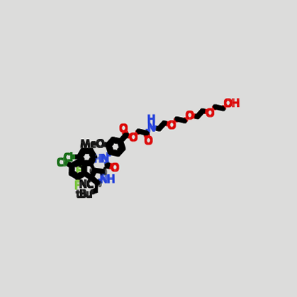 COc1cc(C(=O)OCC(=O)NCCOCCOCCOCCO)ccc1NC(=O)[C@@H]1N[C@@H](CC(C)(C)C)[C@](C#N)(c2ccc(Cl)cc2F)[C@H]1c1cccc(Cl)c1F